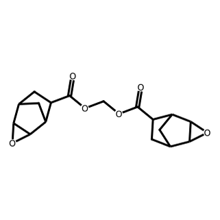 O=C(OCOC(=O)C1CC2CC1C1OC21)C1CC2CC1C1OC21